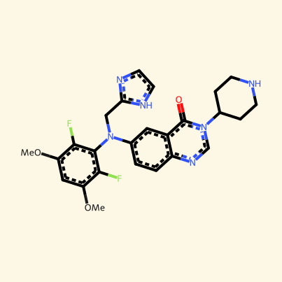 COc1cc(OC)c(F)c(N(Cc2ncc[nH]2)c2ccc3ncn(C4CCNCC4)c(=O)c3c2)c1F